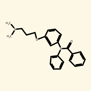 CN(C)CCCOc1cccc(N(C(=O)c2ccccc2)c2ccccc2)c1